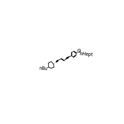 CCCCCCCOc1ccc(C#C/C=C/C#C[C@H]2CC[C@H](CCCC)CC2)cc1